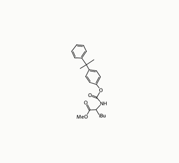 CCC(C)C(NC(=O)Oc1ccc(C(C)(C)c2ccccc2)cc1)C(=O)OC